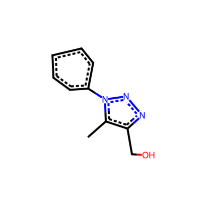 Cc1c(CO)nnn1-c1ccccc1